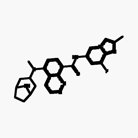 Cc1cn2cc(NC(=O)c3ccc(N(C)C4CC5CCC(C4)N5)c4ccnnc34)cc(F)c2n1